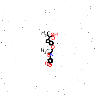 CCC(C(=O)O)C1CCc2cc(OCCc3nc(-c4ccc5c(c4)OCO5)oc3C)ccc21